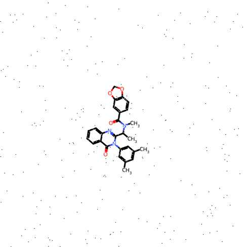 Cc1cc(C)cc(-n2c(C(C)N(C)C(=O)c3ccc4c(c3)OCO4)nc3ccccc3c2=O)c1